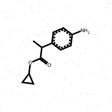 CC(C(=O)OC1CC1)c1ccc(N)cc1